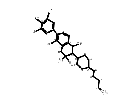 [2H]C1c2ccc(-c3cc(F)c(F)c(F)c3)c(F)c2CC([2H])([2H])C1C1CCC(CCCCC)CC1